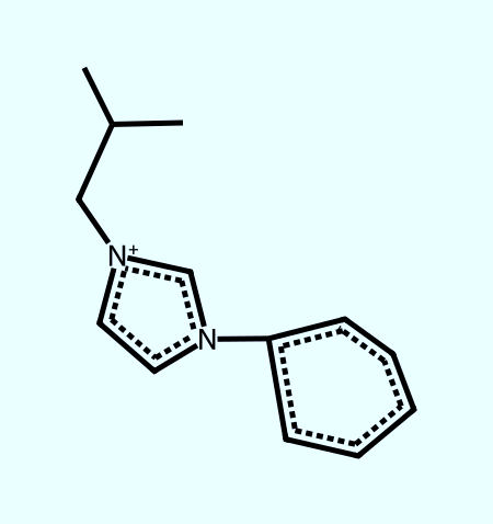 CC(C)C[n+]1ccn(-c2ccccc2)c1